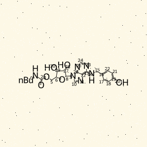 CCCCNC(=O)OCC1OC(n2cnc3c(NCc4ccc(O)cc4)ncnc32)C(O)C1O